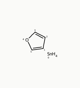 [SnH4].c1ccoc1